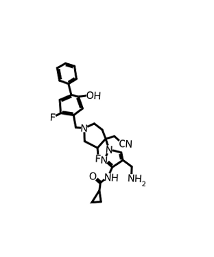 N#CCC1(n2cc(CN)c(NC(=O)C3CC3)n2)CCN(Cc2cc(O)c(-c3ccccc3)cc2F)CC1F